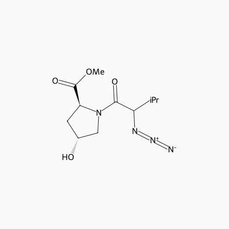 COC(=O)[C@@H]1C[C@@H](O)CN1C(=O)C(N=[N+]=[N-])C(C)C